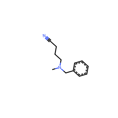 CN(CCCC#N)Cc1ccccc1